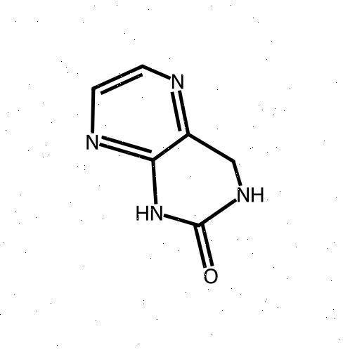 O=C1NCc2nccnc2N1